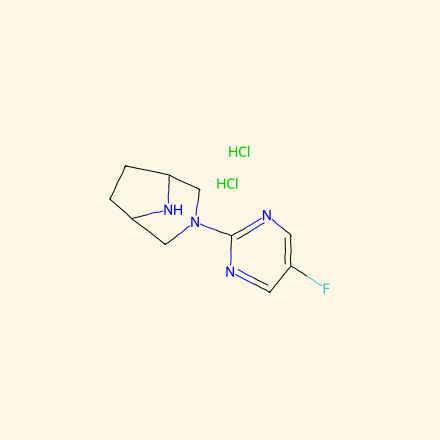 Cl.Cl.Fc1cnc(N2CC3CCC(C2)N3)nc1